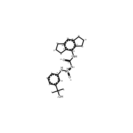 CC(C)(O)c1cccc(N/[SH](=O)=N\C(=O)Nc2c3c(cc4c2CCC4)CCC3)c1